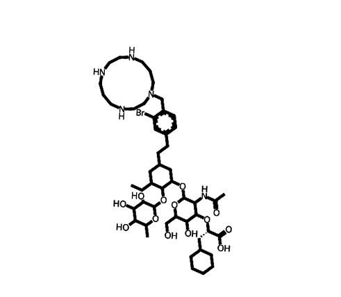 CCC1CC(CCc2ccc(CN3CCCNCCNCCCNCC3)c(Br)c2)CC(OC2OC(CO)C(O)C(O[C@@H](CC3CCCCC3)C(=O)O)C2NC(C)=O)C1OC1OC(C)C(O)C(O)C1O